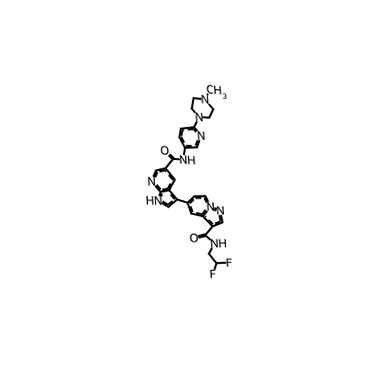 CN1CCN(c2ccc(NC(=O)c3cnc4[nH]cc(-c5ccn6ncc(C(=O)NCC(F)F)c6c5)c4c3)cn2)CC1